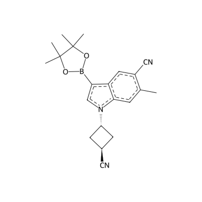 Cc1cc2c(cc1C#N)c(B1OC(C)(C)C(C)(C)O1)cn2[C@H]1C[C@H](C#N)C1